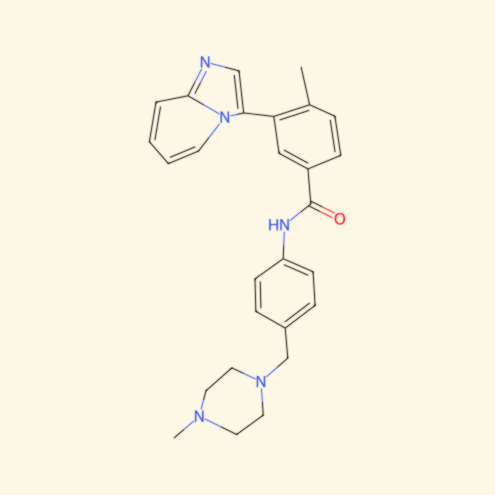 Cc1ccc(C(=O)Nc2ccc(CN3CCN(C)CC3)cc2)cc1-c1cnc2ccccn12